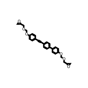 C(#Cc1ccc(-c2ccc(OCOCC3CO3)cc2)cc1)c1ccc(OCOCC2CO2)cc1